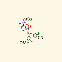 COc1ccc(-c2sc(C(=O)N3CCCC[C@@H](NC(=O)OC(C)(C)C)C3)cc2-c2ccc(C#N)c(F)c2)cc1F